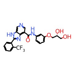 O=C(Nc1cccc(OC[C@H](O)CO)c1)c1cncc2[nH]c(-c3ccccc3C(F)(F)F)nc12